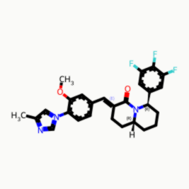 COc1cc(/C=C2\CC[C@H]3CCC[C@H](c4cc(F)c(F)c(F)c4)N3C2=O)ccc1-n1cnc(C)c1